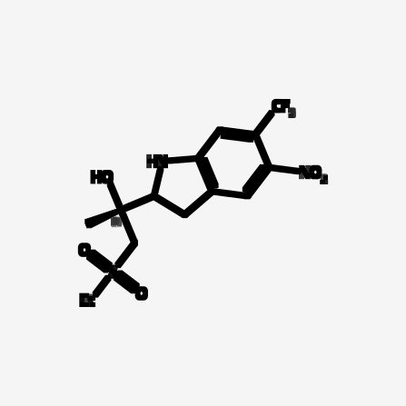 CCS(=O)(=O)C[C@](C)(O)C1Cc2cc([N+](=O)[O-])c(C(F)(F)F)cc2N1